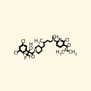 CC(CCN(C)c1ccc(C(=O)N(C)C)c(Cl)n1)CC1CCN(C(=O)C(O)(c2cc(Cl)cc(Cl)c2)C(F)(F)F)CC1